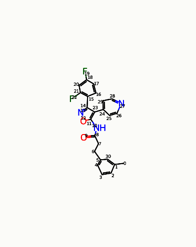 Cc1cccc(CCC(=O)Nc2onc(-c3ccc(F)cc3F)c2-c2ccncc2)c1